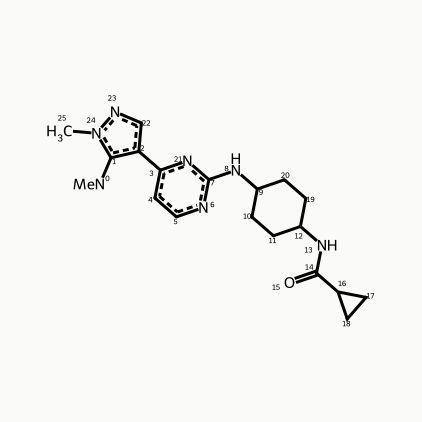 CNc1c(-c2ccnc(NC3CCC(NC(=O)C4CC4)CC3)n2)cnn1C